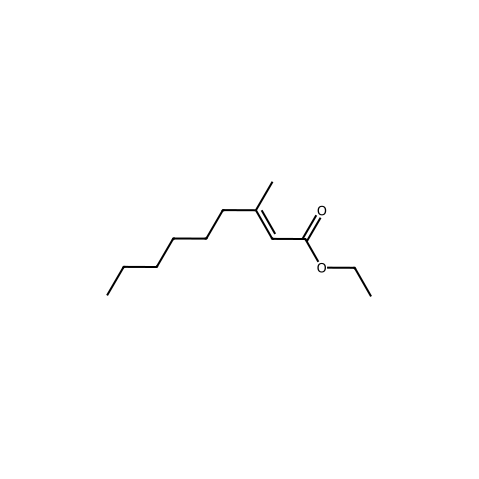 CCCCCCC(C)=CC(=O)OCC